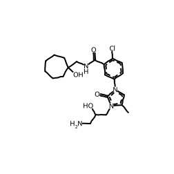 Cc1cn(-c2ccc(Cl)c(C(=O)NCC3(O)CCCCCC3)c2)c(=O)n1CC(O)CN